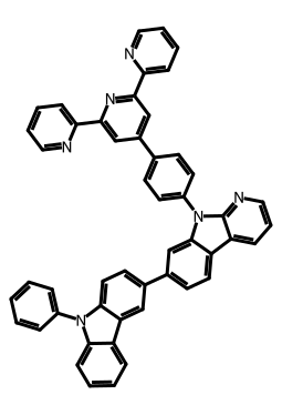 c1ccc(-n2c3ccccc3c3cc(-c4ccc5c6cccnc6n(-c6ccc(-c7cc(-c8ccccn8)nc(-c8ccccn8)c7)cc6)c5c4)ccc32)cc1